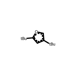 CC(C)(C)c1coc(C(C)(C)C)c1